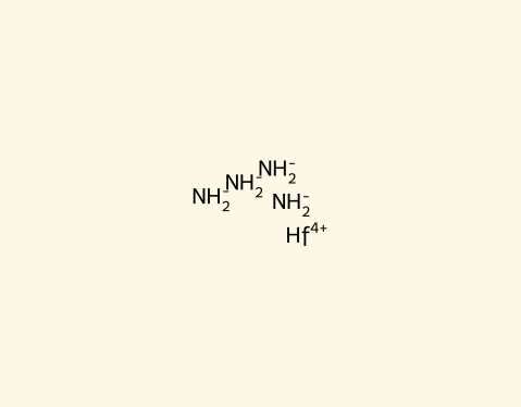 [Hf+4].[NH2-].[NH2-].[NH2-].[NH2-]